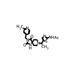 CC(=O)Nc1ncc([C@H](C)N2CCC3(CC2)NC(=O)N(Cc2ccnc(C)c2)C3=O)s1